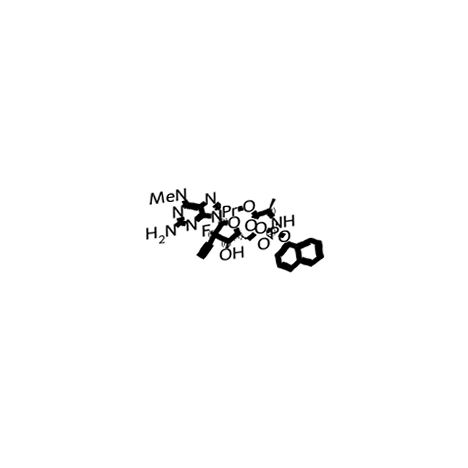 C#C[C@@]1(F)[C@H](O)[C@@H](CO[P@@](=O)(N[C@H](C)C(=O)OC(C)C)Oc2cccc3ccccc23)O[C@H]1n1cnc2c(NC)nc(N)nc21